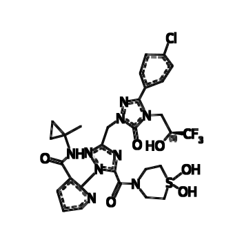 CC1(NC(=O)c2cccnc2-n2nc(Cn3nc(-c4ccc(Cl)cc4)n(C[C@H](O)C(F)(F)F)c3=O)nc2C(=O)N2CCS(O)(O)CC2)CC1